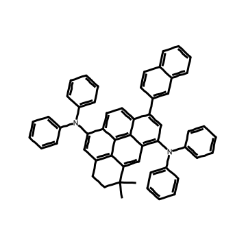 CC1(C)CCc2cc(N(c3ccccc3)c3ccccc3)c3ccc4c(-c5ccc6ccccc6c5)cc(N(c5ccccc5)c5ccccc5)c5cc1c2c3c45